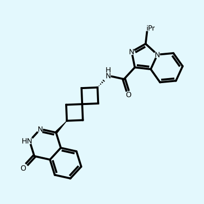 CC(C)c1nc(C(=O)N[C@H]2CC3(C2)C[C@H](c2n[nH]c(=O)c4ccccc42)C3)c2ccccn12